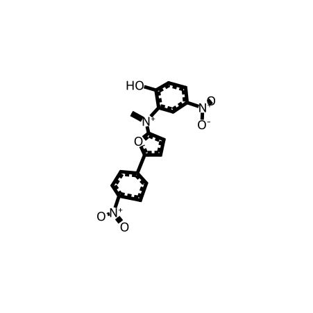 C=[N+](c1ccc(-c2ccc([N+](=O)[O-])cc2)o1)c1cc([N+](=O)[O-])ccc1O